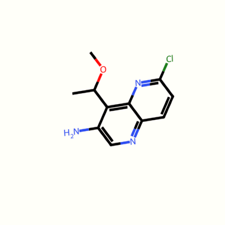 COC(C)c1c(N)cnc2ccc(Cl)nc12